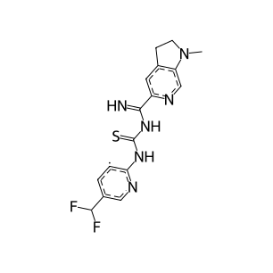 CN1CCc2cc(C(=N)NC(=S)Nc3[c]cc(C(F)F)cn3)ncc21